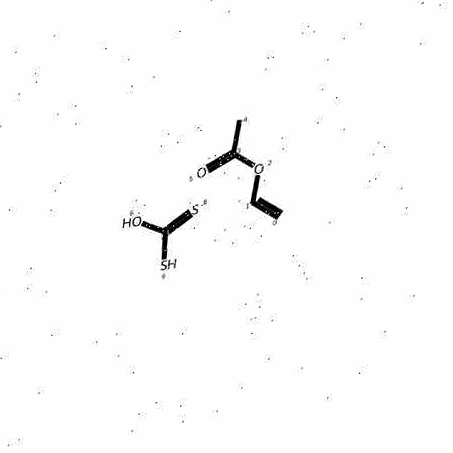 C=COC(C)=O.OC(=S)S